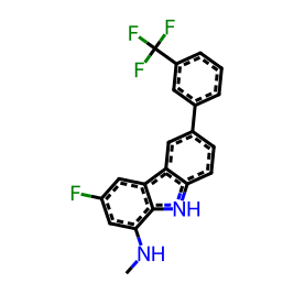 CNc1cc(F)cc2c1[nH]c1ccc(-c3cccc(C(F)(F)F)c3)cc12